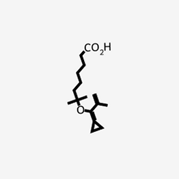 C=C(C)C(OC(C)(C)CCCCCC(=O)O)=C1CC1